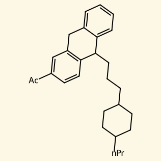 CCCC1CCC(CCCC2c3ccccc3Cc3cc(C(C)=O)ccc32)CC1